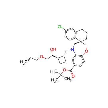 C=CCOCC(O)[C@@H]1CC[C@H]1CN1C[C@@]2(CCCc3cc(Cl)ccc32)COc2ccc(C(=O)OC(C)(C)C)cc21